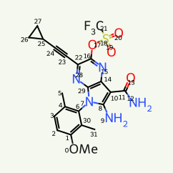 COc1ccc(C)c(-n2c(N)c(C(N)=O)c3nc(OS(=O)(=O)C(F)(F)F)c(C#CC4CC4)nc32)c1C